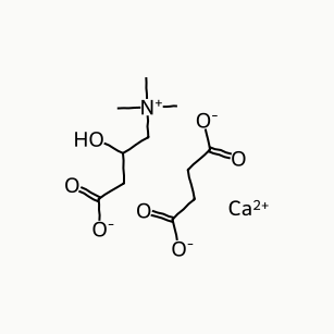 C[N+](C)(C)CC(O)CC(=O)[O-].O=C([O-])CCC(=O)[O-].[Ca+2]